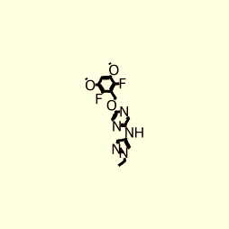 CCn1cc(Nc2cnc(OCc3c(F)c(OC)cc(OC)c3F)cn2)cn1